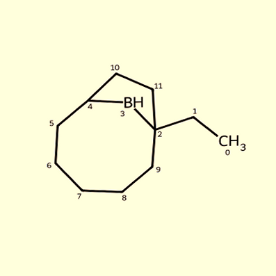 CCC12BC(CCCCC1)CC2